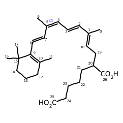 CC(C=C/C=C(/C)C=CC1=C(C)CCCC1(C)C)=CCC(CCCCC(=O)O)C(=O)O